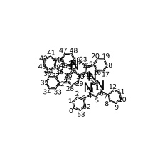 c1ccc(-c2cc(-c3ccccc3)nc(-n3c4ccccc4c4cnc5c6c(ccc5c43)-c3ccccc3C6(c3ccccc3)c3ccccc3)n2)cc1